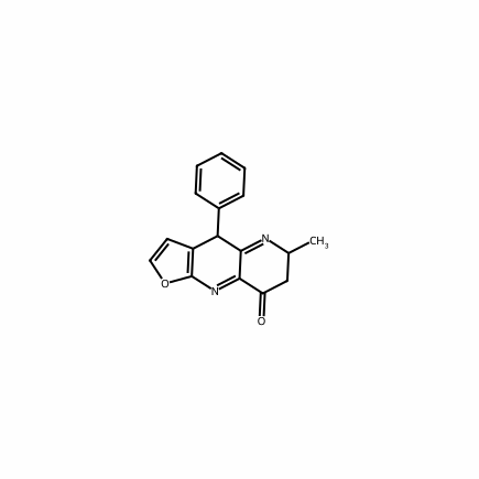 CC1CC(=O)C2=Nc3occc3C(c3ccccc3)C2=N1